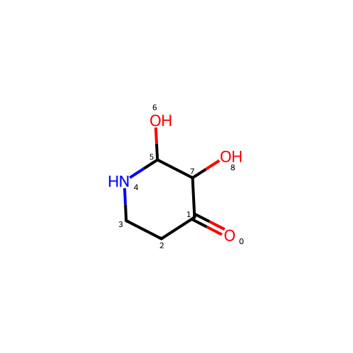 O=C1CCNC(O)C1O